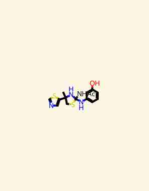 CC(=O)NC1(Nc2cccc(O)c2)NC(C)(c2cncs2)CS1